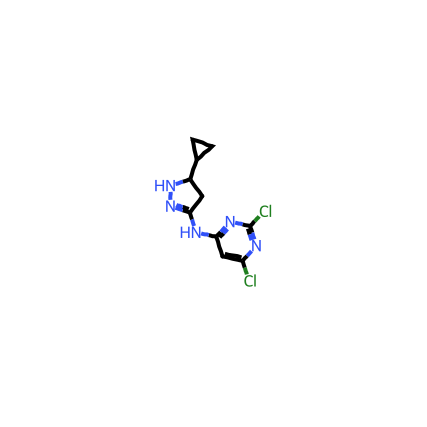 Clc1cc(NC2=NNC(C3CC3)C2)nc(Cl)n1